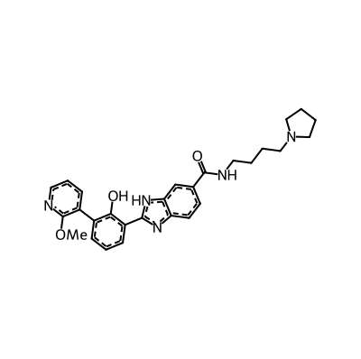 COc1ncccc1-c1cccc(-c2nc3ccc(C(=O)NCCCCN4CCCC4)cc3[nH]2)c1O